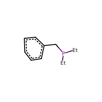 CCP([CH]c1ccccc1)CC